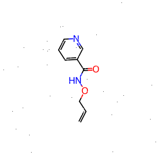 C=CCONC(=O)c1cccnc1